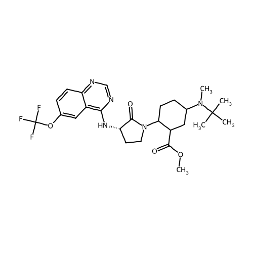 COC(=O)C1CC(N(C)C(C)(C)C)CCC1N1CC[C@H](Nc2ncnc3ccc(OC(F)(F)F)cc23)C1=O